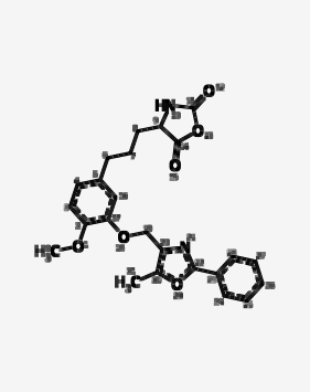 COc1ccc(CCCC2NC(=O)OC2=O)cc1OCc1nc(-c2ccccc2)oc1C